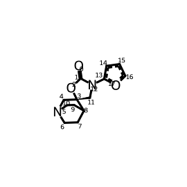 O=C1O[C@]2(CN3CCC2CC3)CN1c1ccco1